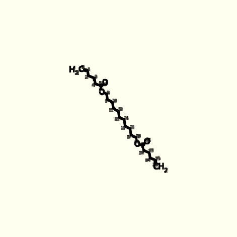 C=CCCCC(=O)OCCCCCCCCCCCOC(=O)CCCC=C